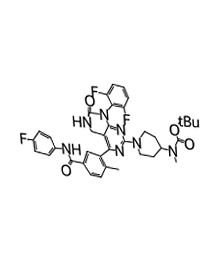 Cc1ccc(C(=O)Nc2ccc(F)cc2)cc1-c1nc(N2CCC(N(C)C(=O)OC(C)(C)C)CC2)nc2c1CNC(=O)N2c1c(F)cccc1F